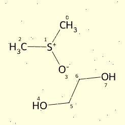 C[S+](C)[O-].OCCO